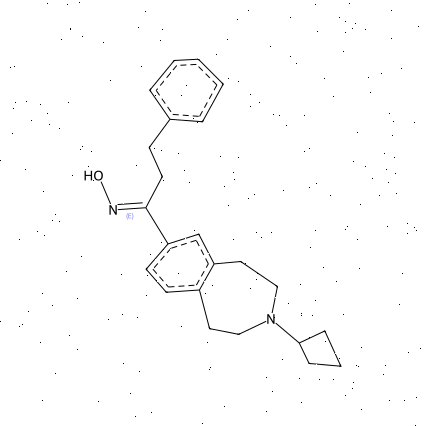 O/N=C(\CCc1ccccc1)c1ccc2c(c1)CCN(C1CCC1)CC2